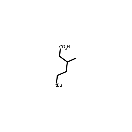 CC(CCC(C)(C)C)CC(=O)O